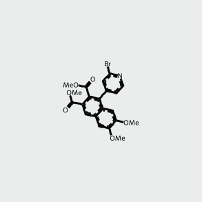 COC(=O)c1cc2cc(OC)c(OC)cc2c(-c2ccnc(Br)c2)c1C(=O)OC